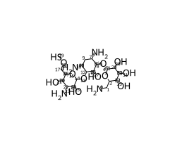 NCC1O[C@H](O[C@@H]2C(N)C[C@@H](N)C(OC3O[C@H](COS)[C@@H](O)C(N)[C@H]3O)[C@H]2O)C(O)[C@@H](O)[C@@H]1O